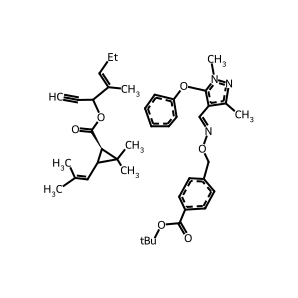 C#CC(OC(=O)[C@@H]1C(C=C(C)C)C1(C)C)/C(C)=C/CC.Cc1nn(C)c(Oc2ccccc2)c1/C=N/OCc1ccc(C(=O)OC(C)(C)C)cc1